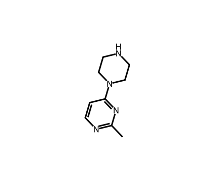 Cc1nccc(N2CCNCC2)n1